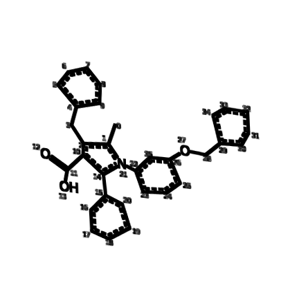 Cc1c(Cc2ccccc2)c(C(=O)O)c(-c2ccccc2)n1-c1cccc(OCc2ccccc2)c1